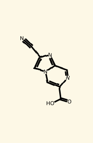 N#Cc1cn2cc(C(=O)O)ncc2n1